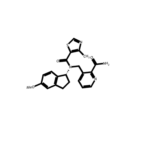 COc1ccc2c(c1)CC[C@H]2N(Cc1cccnc1C(N)=O)C(=O)c1scnc1C